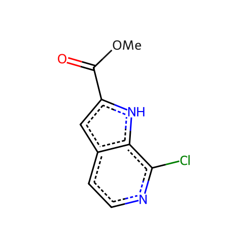 COC(=O)c1cc2ccnc(Cl)c2[nH]1